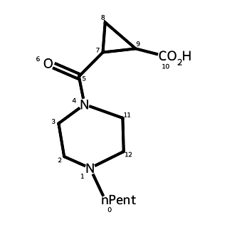 CCCCCN1CCN(C(=O)C2CC2C(=O)O)CC1